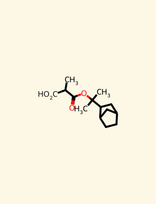 CC(C(=O)O)C(=O)OC(C)(C)C1CC2CCC1C2